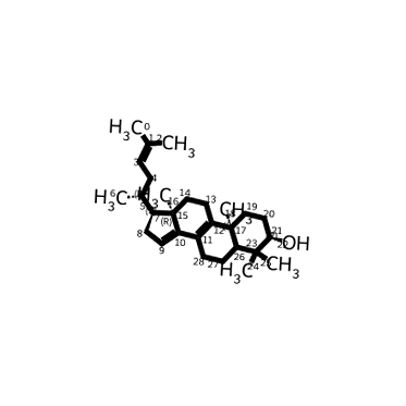 CC(C)=CC[C@@H](C)[C@@H]1CC=C2C3=C(CC[C@@]21C)[C@@]1(C)CC[C@@H](O)C(C)(C)C1CC3